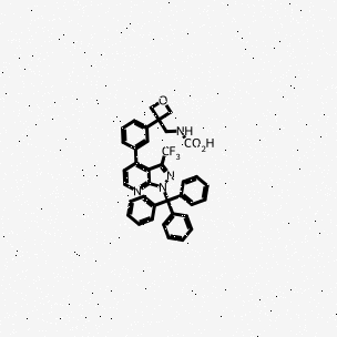 O=C(O)NCC1(c2cccc(-c3ccnc4c3c(C(F)(F)F)nn4C(c3ccccc3)(c3ccccc3)c3ccccc3)c2)COC1